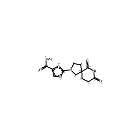 COC(=O)c1cnc(N2CCC3(CCC(=O)NC3=O)C2)s1